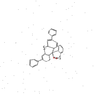 C1=CC2C(C=C1c1ccccc1)SC1C=C(c3ccccc3)CCC1C21c2ccccc2Sc2ccccc21